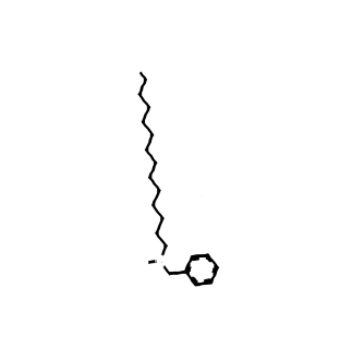 CCCCCCCCCCCCCCN(C)Cc1ccccc1.Cl.O